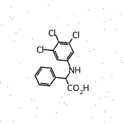 O=C(O)C(Nc1cc(Cl)c(Cl)c(Cl)c1)c1ccccc1